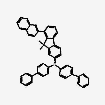 CC1(C)c2cc(N(c3ccc(-c4ccccc4)cc3)c3ccc(-c4ccccc4)cc3)ccc2-c2cccc(-c3ccc4ccccc4c3)c21